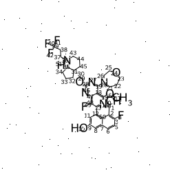 C#Cc1c(F)ccc2cc(O)cc(-c3nc(OC)c4c(N5CCCOCC5)nc(OC[C@]56CCC[C@H]5N(CCC(F)(F)F)CCC6)nc4c3F)c12